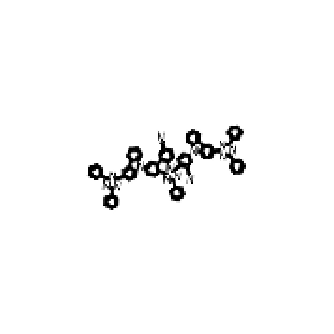 N#Cc1cccc(-c2cc(-n3c4ccccc4c4cc(-c5nc(-c6ccccc6)nc(-c6ccccc6)n5)ccc43)ccc2-c2nc(-c3ccccc3)nc(-c3ccc(-n4c5ccccc5c5cc(-c6nc(-c7ccccc7)nc(-c7ccccc7)n6)ccc54)cc3C#N)n2)c1